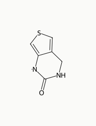 O=C1[N]c2cscc2CN1